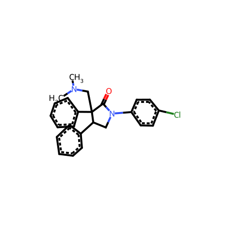 CN(C)CC1(c2ccccc2)C(=O)N(c2ccc(Cl)cc2)CC1c1ccccc1